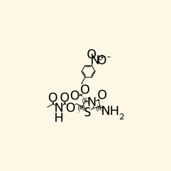 CC(=O)NC(=O)OC[C@]1(C)SC2[C@H](N)C(=O)N2[C@H]1C(=O)OCc1ccc([N+](=O)[O-])cc1